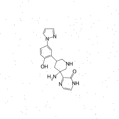 NC1(c2ncc[nH]c2=O)CNCC(c2cc(-n3cccn3)ccc2O)C1